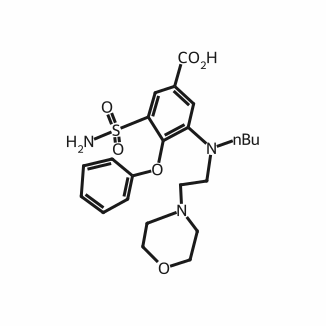 CCCCN(CCN1CCOCC1)c1cc(C(=O)O)cc(S(N)(=O)=O)c1Oc1ccccc1